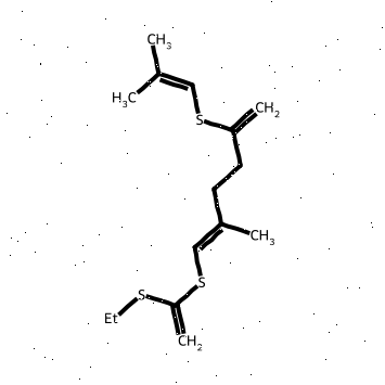 C=C(CC/C(C)=C/SC(=C)SCC)SC=C(C)C